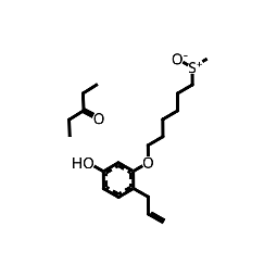 C=CCc1ccc(O)cc1OCCCCCC[S+](C)[O-].CCC(=O)CC